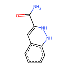 NC(=O)C1=Cc2ccccc2NN1